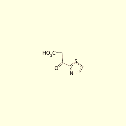 O=C(O)CC(=O)c1nccs1